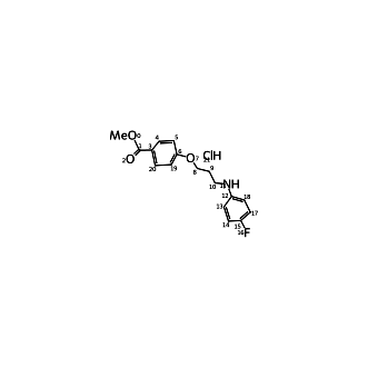 COC(=O)c1ccc(OCCCNc2ccc(F)cc2)cc1.Cl